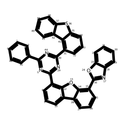 c1ccc(-c2nc(-c3cccc4c3oc3c(-c5nc6ccccc6o5)cccc34)nc(-c3cccc4sc5ccccc5c34)n2)cc1